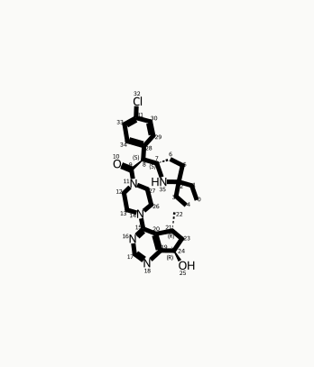 CCC1(CC)CC[C@@H]([C@@H](C(=O)N2CCN(c3ncnc4c3[C@H](C)C[C@H]4O)CC2)c2ccc(Cl)cc2)N1